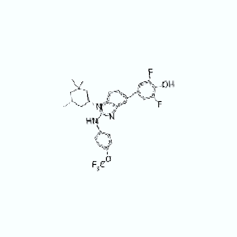 C[C@H]1C[C@@H](n2c(Nc3ccc(OC(F)(F)F)cc3)nc3cc(-c4cc(F)c(O)c(F)c4)ccc32)CC(C)(C)C1